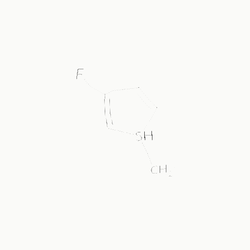 [CH2][SH]1C=CC(F)=C1